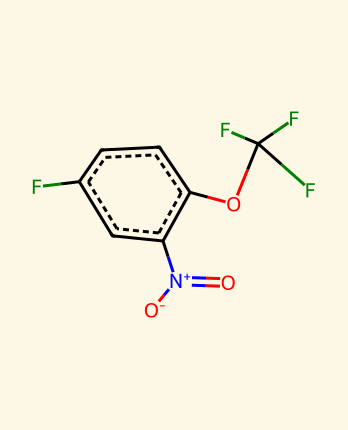 O=[N+]([O-])c1cc(F)ccc1OC(F)(F)F